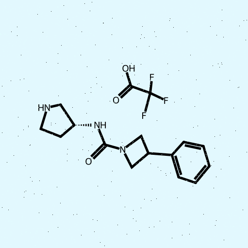 O=C(N[C@@H]1CCNC1)N1CC(c2ccccc2)C1.O=C(O)C(F)(F)F